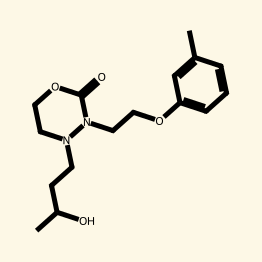 Cc1cccc(OCCN2C(=O)OCCN2CCC(C)O)c1